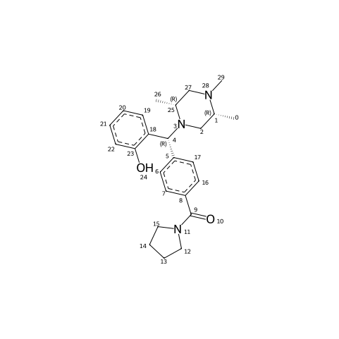 C[C@@H]1CN([C@H](c2ccc(C(=O)N3CCCC3)cc2)c2ccccc2O)[C@H](C)CN1C